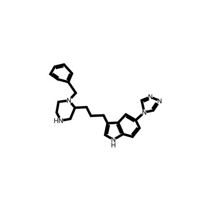 c1ccc(CN2CCNCC2CCCc2c[nH]c3ccc(-n4cnnc4)cc23)cc1